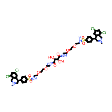 CN1Cc2c(Cl)cc(Cl)cc2C(c2ccc(S(=O)(=O)NCCOCCOCCNC(=O)[C@@H](O)[C@@H](O)C(=O)NCCOCCOCCNS(=O)(=O)c3ccc(C4CN(C)Cc5c(Cl)cc(Cl)cc54)cc3)cc2)C1